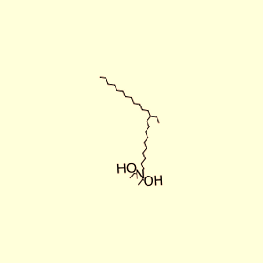 CCCCCCCCCCCCC(CC)CCCCCCCCCCN(C(C)O)C(C)O